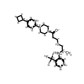 C[C@@H](COCCC(=O)N1CCN(c2ncc(C3CCC3)cn2)CC1)Nc1cnncc1C(F)(F)F